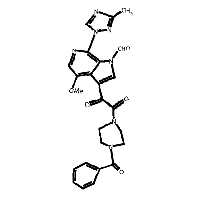 COc1cnc(-n2cnc(C)n2)c2c1c(C(=O)C(=O)N1CCN(C(=O)c3ccccc3)CC1)cn2C=O